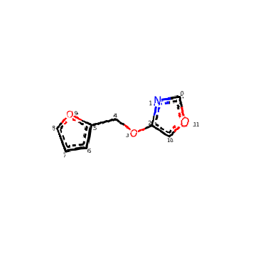 [c]1nc(OCc2ccco2)co1